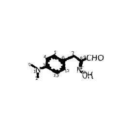 CN(C)c1ccc(CC(C=O)=NO)cc1